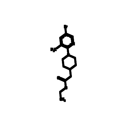 CCOC(=O)CC1CCN(c2ncc(Br)cc2C)CC1